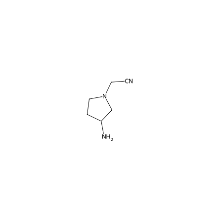 N#CCN1CCC(N)C1